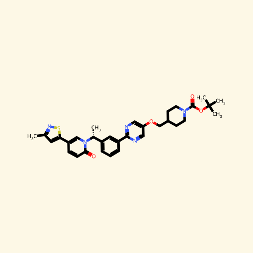 Cc1cc(-c2ccc(=O)n([C@H](C)c3cccc(-c4ncc(OCC5CCN(C(=O)OC(C)(C)C)CC5)cn4)c3)c2)sn1